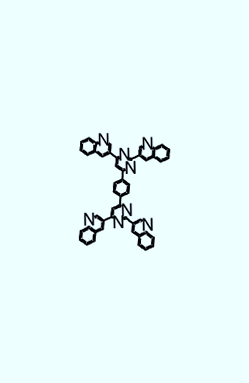 c1ccc2ncc(-c3cc(-c4ccc(-c5cc(-c6cnc7ccccc7c6)nc(-c6cnc7ccccc7c6)n5)cc4)nc(-c4cnc5ccccc5c4)n3)cc2c1